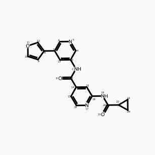 O=C(Nc1cncc(-c2ccoc2)c1)c1ccnc(NC(=O)C2CC2)c1